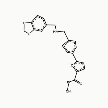 O=C(NO)c1ccc(-c2ccc(CNCc3ccc4c(c3)OCO4)cc2)o1